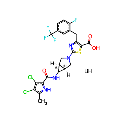 Cc1[nH]c(C(=O)NC2[C@H]3CN(c4nc(Cc5cc(C(F)(F)F)ccc5F)c(C(=O)O)s4)C[C@@H]23)c(Cl)c1Cl.[LiH]